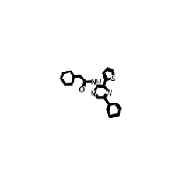 O=C(CC1CCCCC1)Nc1ncc(-c2ccccc2)nc1-c1cccs1